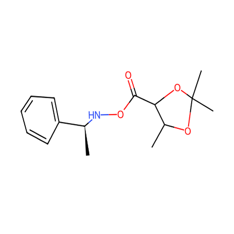 CC1OC(C)(C)OC1C(=O)ON[C@@H](C)c1ccccc1